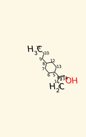 C=C[C@H](CO)C1CCC(CCC)CC1